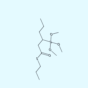 CCCSC(=O)CC(CCC)[Si](OC)(OC)OC